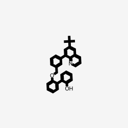 CC(C)(C)c1cc(-c2cccc(COc3ccccc3-c3ccccc3O)c2)c2ncccc2c1